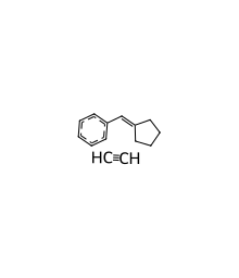 C#C.C(=C1CCCC1)c1ccccc1